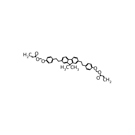 C=CC(=O)OCOc1ccc(CCc2ccc3c(c2)C(C)(C)c2cc(CCc4ccc(OCOC(=O)C=C)cc4)ccc2-3)cc1